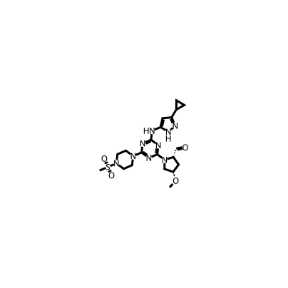 CO[C@H]1C[C@@H](C=O)N(c2nc(Nc3cc(C4CC4)n[nH]3)nc(N3CCN(S(C)(=O)=O)CC3)n2)C1